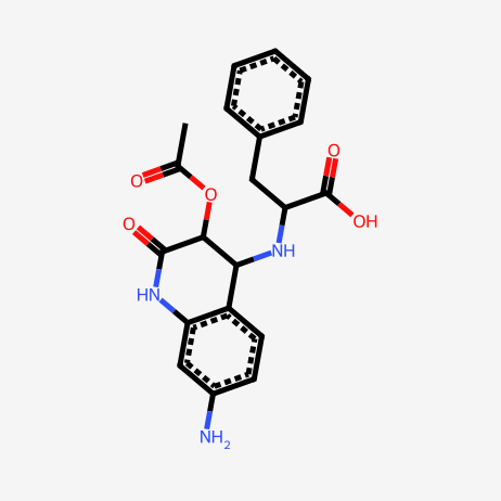 CC(=O)OC1C(=O)Nc2cc(N)ccc2C1NC(Cc1ccccc1)C(=O)O